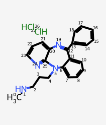 CNCCCN1c2ccccc2C(c2ccccc2)=Nc2cccnc21.Cl.Cl